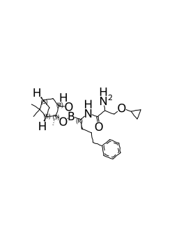 CC1(C)[C@@H]2C[C@H]3OB([C@H](CCCc4ccccc4)NC(=O)C(N)COC4CC4)O[C@@]3(C)[C@H]1C2